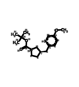 COc1ccc(C[C@H]2CCN(C(=O)OC(C)(C)C)C2)nc1